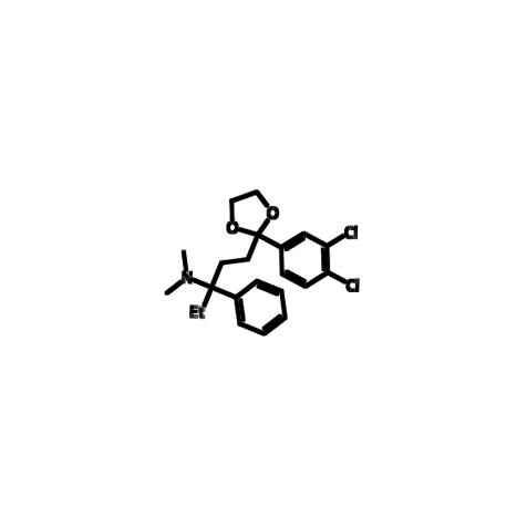 CCC(CCC1(c2ccc(Cl)c(Cl)c2)OCCO1)(c1ccccc1)N(C)C